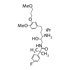 COCCCOc1cc(C[C@@H](CC(N)C(O)CNC(=O)C(C)(C)c2ccc(F)cc2)C(C)C)ccc1OC